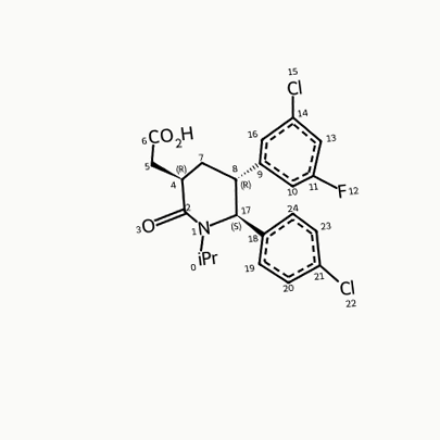 CC(C)N1C(=O)[C@@H](CC(=O)O)C[C@H](c2cc(F)cc(Cl)c2)[C@H]1c1ccc(Cl)cc1